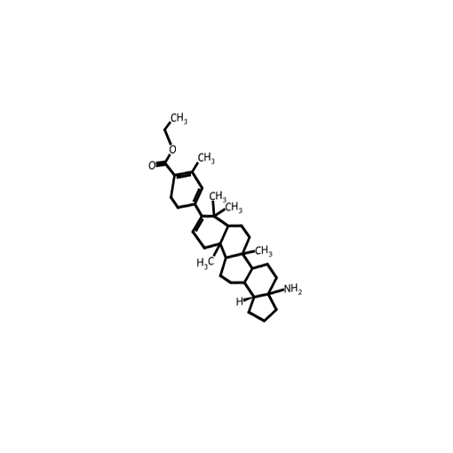 CCOC(=O)C1=C(C)C=C(C2=CCC3(C)C(CCC4(C)C5CCC6(N)CCC[C@@H]6C5CCC43)C2(C)C)CC1